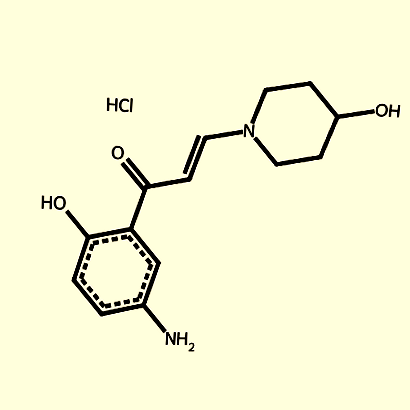 Cl.Nc1ccc(O)c(C(=O)C=CN2CCC(O)CC2)c1